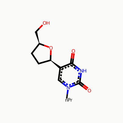 CCCn1cc([C@H]2CC[C@@H](CO)O2)c(=O)[nH]c1=O